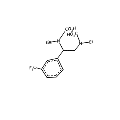 CCN(CC(c1cccc(C(F)(F)F)c1)N(C(=O)O)C(C)(C)C)C(=O)O